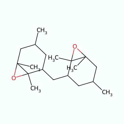 CC1CC(CC2CC(C)CC3(C)OC23C)C2(C)OC2(C)C1